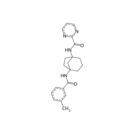 Cc1cccc(C(=O)NC23CCCC(NC(=O)c4ncccn4)(CC2)C3)c1